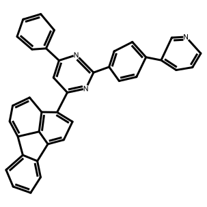 c1ccc(-c2cc(-c3ccc4c5c(cccc35)-c3ccccc3-4)nc(-c3ccc(-c4cccnc4)cc3)n2)cc1